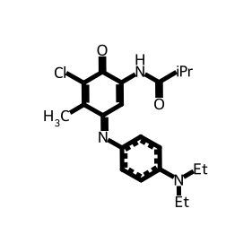 CCN(CC)c1ccc(N=C2C=C(NC(=O)C(C)C)C(=O)C(Cl)=C2C)cc1